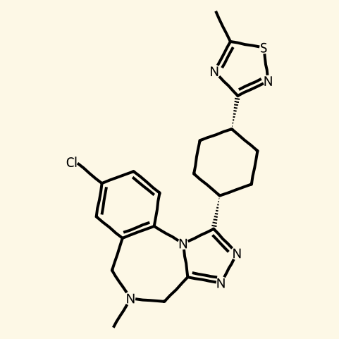 Cc1nc([C@H]2CC[C@@H](c3nnc4n3-c3ccc(Cl)cc3CN(C)C4)CC2)ns1